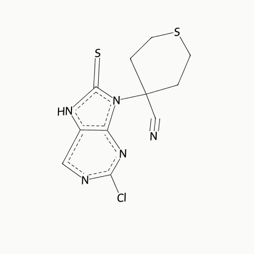 N#CC1(n2c(=S)[nH]c3cnc(Cl)nc32)CCSCC1